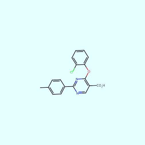 Cc1ccc(-c2ncc(C(=O)O)c(Oc3ccccc3Cl)n2)cc1